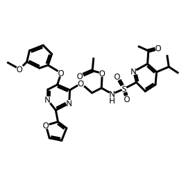 COc1cccc(Oc2cnc(-c3ccco3)nc2OCC(NS(=O)(=O)c2ccc(C(C)C)c(C(C)=O)n2)OC(C)=O)c1